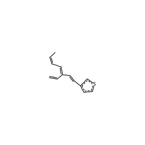 C=CC(/C=C/c1ccsc1)=C\C=C/C